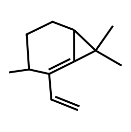 C=CC1=C2C(CCC1C)C2(C)C